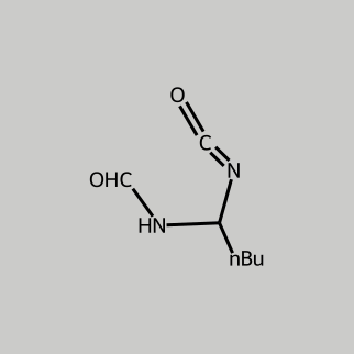 CCCCC(N=C=O)NC=O